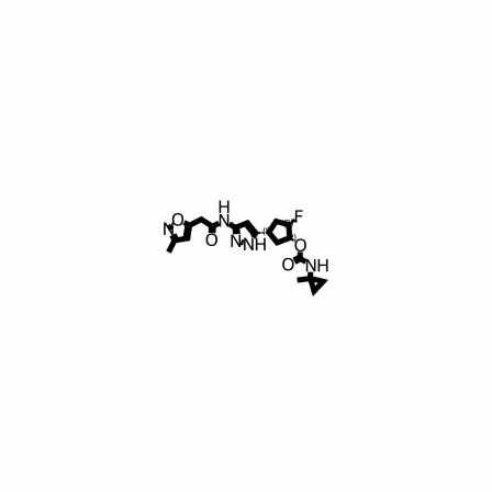 Cc1cc(CC(=O)Nc2cc([C@@H]3C[C@@H](F)[C@H](OC(=O)NC4(C)CC4)C3)[nH]n2)on1